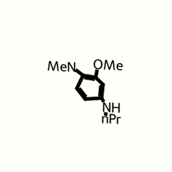 CCCNc1ccc(NC)c(OC)c1